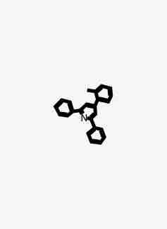 Cc1ccccc1-c1cc(-c2ccccc2)nc(-c2ccccc2)c1